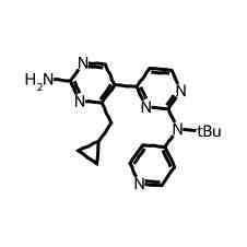 CC(C)(C)N(c1ccncc1)c1nccc(-c2cnc(N)nc2CC2CC2)n1